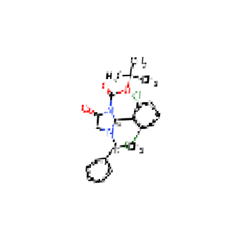 C[C@@H](c1ccccc1)N1CC(=O)N(C(=O)OC(C)(C)C)[C@H]1c1c(Cl)cccc1Cl